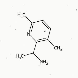 Cc1ccc(C)c(C(C)N)n1